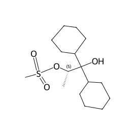 C[C@H](OS(C)(=O)=O)C(O)(C1CCCCC1)C1CCCCC1